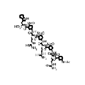 COc1ccc(NC(=O)[C@@H](CCCNC(=N)N)NC(=O)c2cc(NC(=O)[C@@H](CCCNC(=N)N)NC(=O)c3cc(NC(=O)[C@@H](CCCNC(=N)N)NC(=O)c4cc(NC(C)=O)ccc4OC)ccc3OC)ccc2OC)cc1C(=O)N[C@H](Cc1c[nH]c2ccccc12)C(=O)O